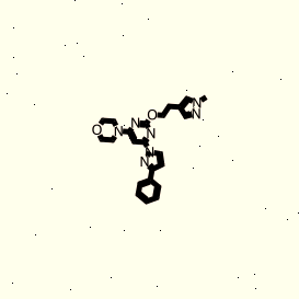 Cn1cc(CCOc2nc(N3CCOCC3)cc(-n3ccc(-c4ccccc4)n3)n2)cn1